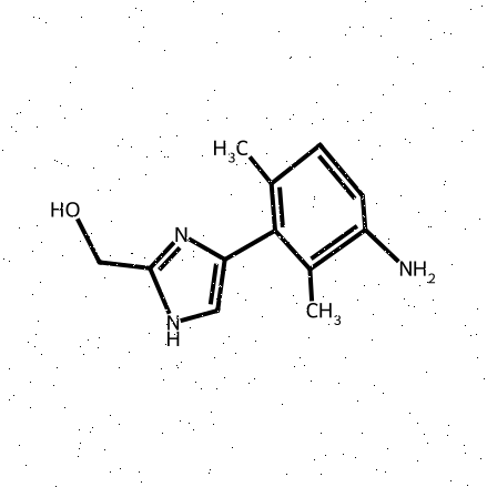 Cc1ccc(N)c(C)c1-c1c[nH]c(CO)n1